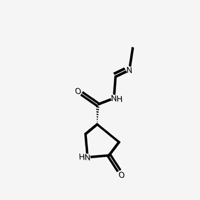 C/N=C/NC(=O)[C@H]1CNC(=O)C1